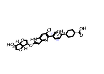 C=C(/C=C\C(=C/C)c1nc2cc(O[C@@H]3CO[C@H]4[C@@H]3OC[C@H]4O)[nH]c2cc1Cl)[C@H]1CC[C@H](C(=O)O)CC1